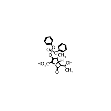 C[C@@H](O)[C@H]1C(=O)N2C(C(=O)O)=C(OP(=O)(Oc3ccccc3)Oc3ccccc3)[C@H](C)[C@H]12